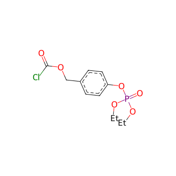 CCOP(=O)(OCC)Oc1ccc(COC(=O)Cl)cc1